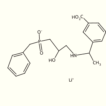 CC(NCC(O)CP(=O)([O-])Cc1ccccc1)c1cccc(C(=O)O)c1.[Li+]